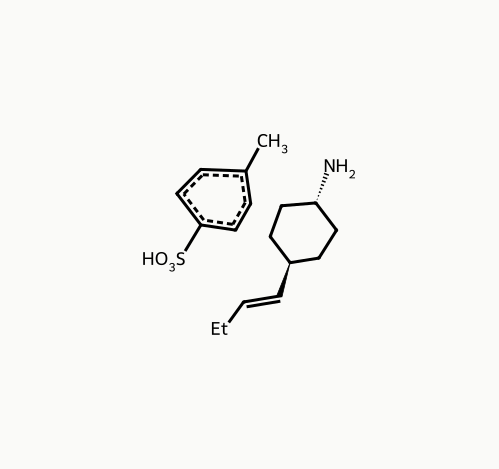 CCC=C[C@H]1CC[C@H](N)CC1.Cc1ccc(S(=O)(=O)O)cc1